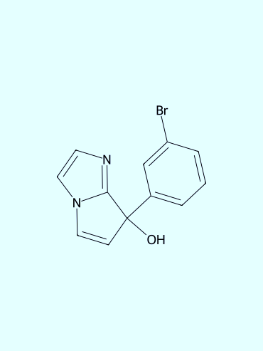 OC1(c2cccc(Br)c2)C=Cn2ccnc21